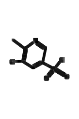 Cc1ncc(S(=O)(=O)Cl)cc1Cl